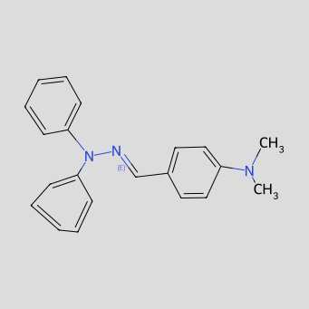 CN(C)c1ccc(/C=N/N(c2ccccc2)c2ccccc2)cc1